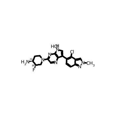 Cl.Cn1cc2c(Cl)c(-c3c[nH]c4nc(N5CC[C@H](N)[C@H](F)C5)cnc34)ccc2n1